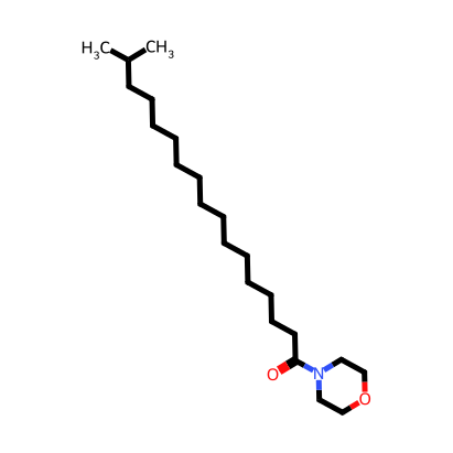 CC(C)CCCCCCCCCCCCCCC(=O)N1CCOCC1